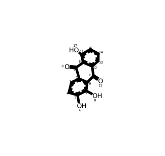 O=C1c2ccc(O)c(O)c2C(=O)c2cccc(O)c21